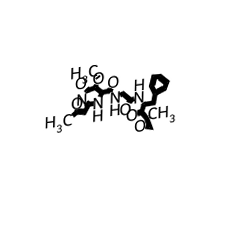 COC(C=O)C(Nc1cc(C)on1)C(=O)NCC(=O)NC(Cc1ccccc1)C(=O)C1(C)CO1